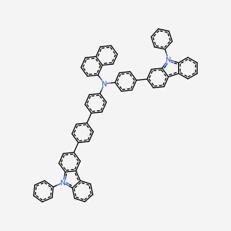 c1ccc(-n2c3ccccc3c3cc(-c4ccc(-c5ccc(N(c6ccc(-c7ccc8c9ccccc9n(-c9ccccc9)c8c7)cc6)c6cccc7ccccc67)cc5)cc4)ccc32)cc1